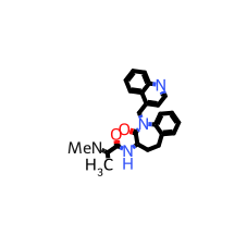 CNC(C)C(=O)NC1CCc2ccccc2N(Cc2ccnc3ccccc23)C1=O